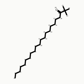 CCCCCCCCCCCCCCCCCCCC(=O)C(C)(C)C